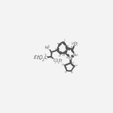 CCOC(=O)C(C(=O)OCC)C(C#N)c1ccc2c(CC)nn(C3CCCC3)c2c1